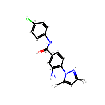 Cc1cc(C(F)(F)F)nn1-c1ccc(C(=O)Nc2ccc(Cl)cc2)cc1N